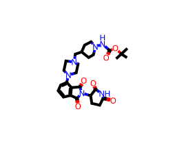 CC(C)(C)OC(=O)NN1CCC(CN2CCN(c3cccc4c3C(=O)N(C3CCC(=O)NC3=O)C4=O)CC2)CC1